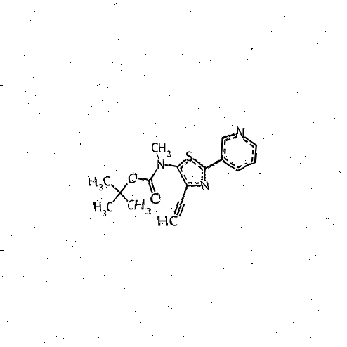 C#Cc1nc(-c2cccnc2)sc1N(C)C(=O)OC(C)(C)C